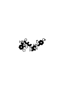 COc1ccc(CNc2cc(N/C(C)=C/C(C)=C3/C(=O)NC(C)(c4cccc(Cl)c4)N3C=O)c(C)cn2)c(OC)c1